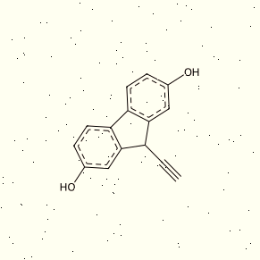 C#CC1c2cc(O)ccc2-c2ccc(O)cc21